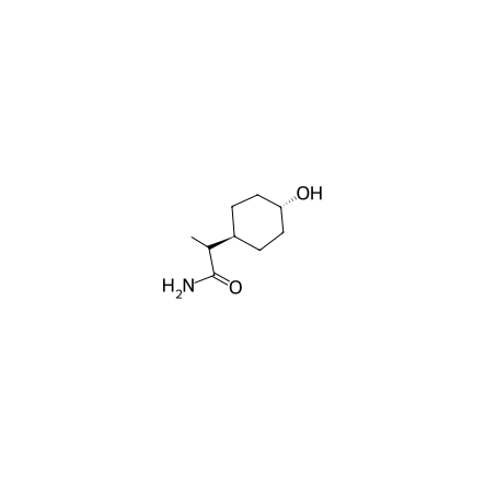 CC(C(N)=O)[C@H]1CC[C@H](O)CC1